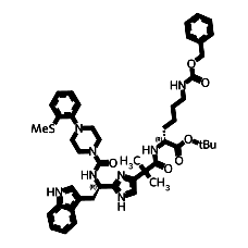 CSc1ccccc1N1CCN(C(=O)N[C@H](Cc2c[nH]c3ccccc23)c2nc(C(C)(C)C(=O)N[C@H](CCCCNC(=O)OCc3ccccc3)C(=O)OC(C)(C)C)c[nH]2)CC1